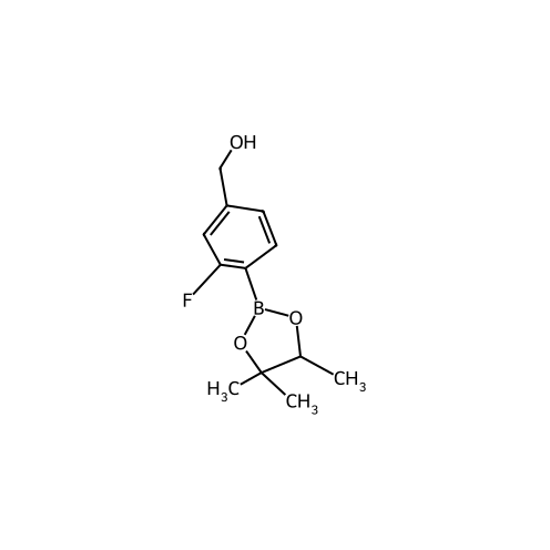 CC1OB(c2ccc(CO)cc2F)OC1(C)C